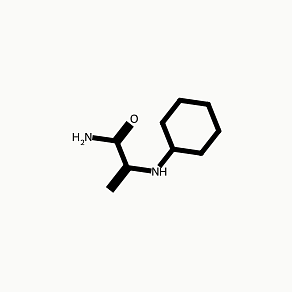 C=C(NC1CCCCC1)C(N)=O